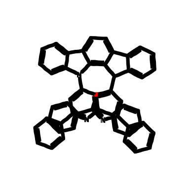 c1ccc(-c2cc(C3c4ccccc4-c4ccc5c6ccccc6n(-c6cc(-c7ccccc7)nc(-c7ccccc7)c6)c5c43)cc(-c3ccccc3)n2)cc1